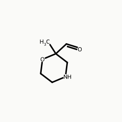 CC1(C=O)CNCCO1